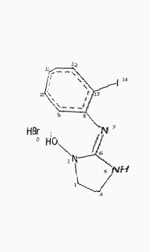 Br.ON1CCNC1=Nc1ccccc1I